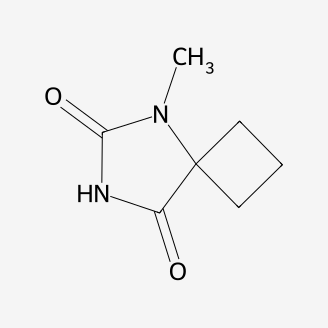 CN1C(=O)NC(=O)C12CCC2